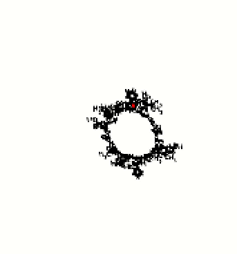 CC(C)C[C@@H]1NC(=O)[C@H](Cc2c[nH]cn2)NC(=O)[C@H](Cc2c[nH]c3ccccc23)NC(=O)[C@H](C)NC(=O)[C@@H](NC(=O)[C@H](CC(=O)O)NC(C)(C)C)CCc2cn(nn2)CCCC[C@@H](C(=O)N[C@H](C(N)=O)C(C)C)NC(=O)[C@H](Cc2c[nH]c3ccccc23)NC(=O)[C@H](C(C)C)NC(=O)[C@H](CC(C)C)NC(=O)[C@H](CCC(=O)O)NC(=O)CNC1=O